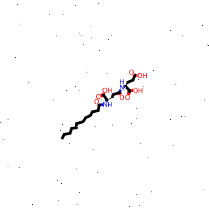 CCCCCCCCCCCC(=O)N[C@@H](CCC(=O)N[C@@H](CCC(=O)O)C(=O)O)C(=O)O